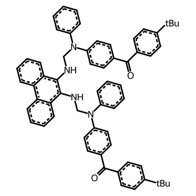 CC(C)(C)c1ccc(C(=O)c2ccc(N(CNc3c(NCN(c4ccccc4)c4ccc(C(=O)c5ccc(C(C)(C)C)cc5)cc4)c4ccccc4c4ccccc34)c3ccccc3)cc2)cc1